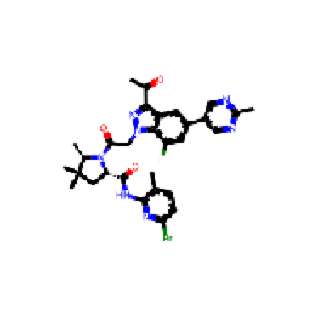 CC(=O)c1nn(CC(=O)N2[C@H](C(=O)Nc3nc(Br)ccc3C)CC(C)(C)[C@H]2C)c2c(F)cc(-c3cnc(C)nc3)cc12